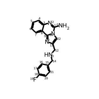 Nc1nc2ccccc2c2nc(CNCc3ccc(F)cc3)cn12